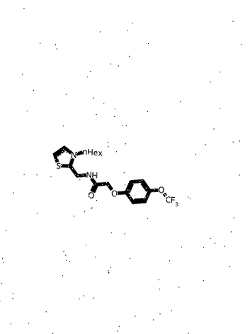 CCCCCCN1C=CSC1CNC(=O)COc1ccc(OC(F)(F)F)cc1